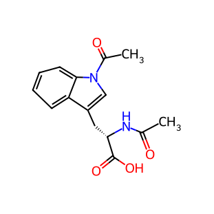 CC(=O)N[C@@H](Cc1cn(C(C)=O)c2ccccc12)C(=O)O